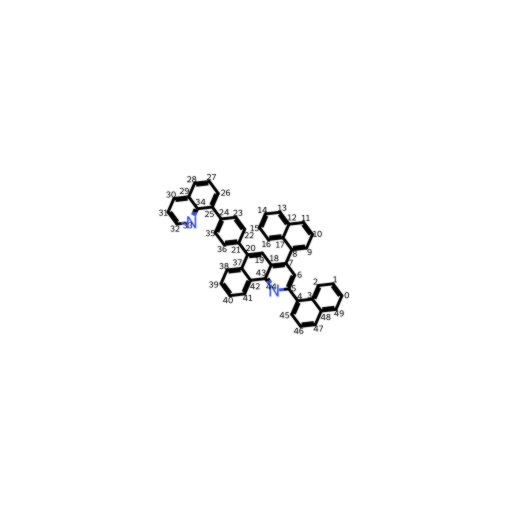 c1ccc2c(-c3cc(-c4cccc5ccccc45)c4cc(-c5ccc(-c6cccc7cccnc67)cc5)c5ccccc5c4n3)cccc2c1